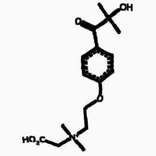 CC(C)(O)C(=O)c1ccc(OCC[N+](C)(C)CC(=O)O)cc1